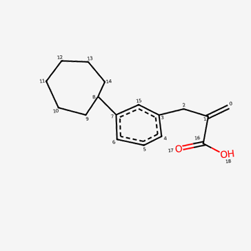 C=C(Cc1cccc(C2CCCCCC2)c1)C(=O)O